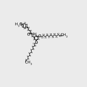 CCCCCCCCCCCCOc1cc(CNC(=O)CCCN2CCN(C)CC2)cc(OCCCCCCCCCCCC)c1